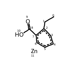 CCc1ccccc1C(=O)O.[Zn]